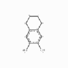 CCC(C)c1cc2c(cc1O)CCCC2